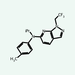 Cc1ccc(N(c2ccc3cnn(CC(F)(F)F)c3n2)C(C)C)cc1